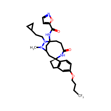 CN1C2CC(NC(=O)c3ccno3)(CCC(=O)N[C@@]3(CCc4cc(OCCCC(F)(F)F)ccc43)C2)N1CCC1CC1